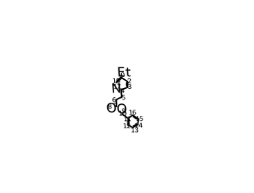 CCc1ccc(CCC(=O)OCc2ccccc2)nc1